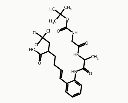 CC(NC(=O)CNC(=O)OC(C)(C)C)C(=O)Nc1ccccc1C=CCCC(CC(Cl)(Cl)Cl)C(=O)O